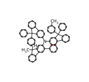 Cc1cccc(C2(c3ccccc3)c3ccccc3-c3ccc(N(c4ccc5c(c4)C(c4ccccc4)(c4ccccc4)c4ccccc4-5)c4cc5c(cc4-c4ccccc4)-c4ccccc4C5(C)C)cc32)c1